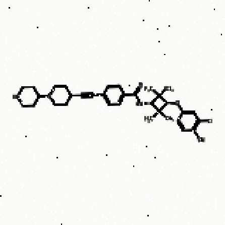 CC1(C)[C@H](NC(=O)c2ccc(C#CC3CCN(C4CCNCC4)CC3)cc2)C(C)(C)[C@H]1Oc1ccc(C#N)c(Cl)c1